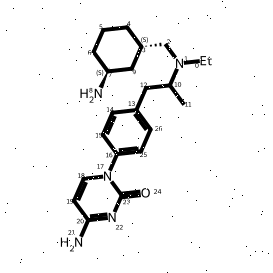 CCN(C[C@H]1CCC[C@H](N)C1)C(C)Cc1ccc(-n2ccc(N)nc2=O)cc1